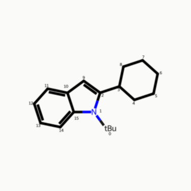 CC(C)(C)n1c(C2CCCCC2)cc2ccccc21